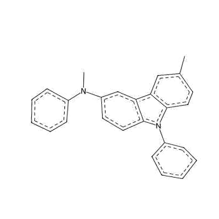 Cc1ccc2c(c1)c1cc(N(C)c3ccccc3)ccc1n2-c1ccccc1